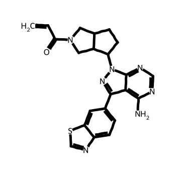 C=CC(=O)N1CC2CCC(n3nc(-c4ccc5ncsc5c4)c4c(N)ncnc43)C2C1